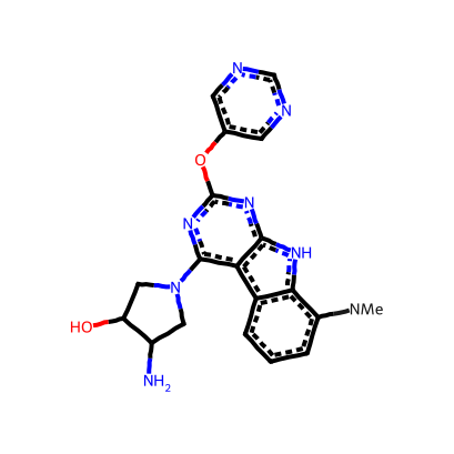 CNc1cccc2c1[nH]c1nc(Oc3cncnc3)nc(N3CC(N)C(O)C3)c12